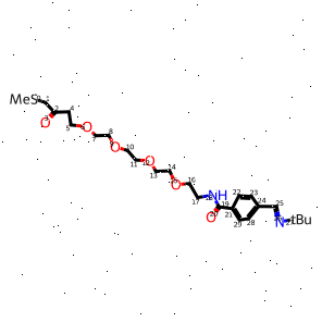 CSCC(=O)CCOCCOCCOCCOCCNC(=O)c1ccc(/C=N/C(C)(C)C)cc1